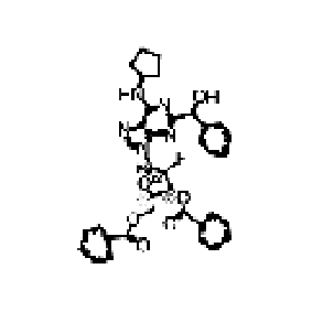 O=C(OC[C@H]1O[C@@H](n2cnc3c(NC4CCCC4)nc(C(O)c4ccccc4)nc32)[C@@H](F)[C@@H]1OC(=O)c1ccccc1)c1ccccc1